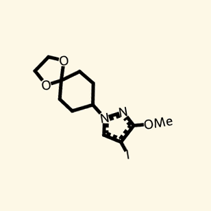 COc1nn(C2CCC3(CC2)OCCO3)cc1I